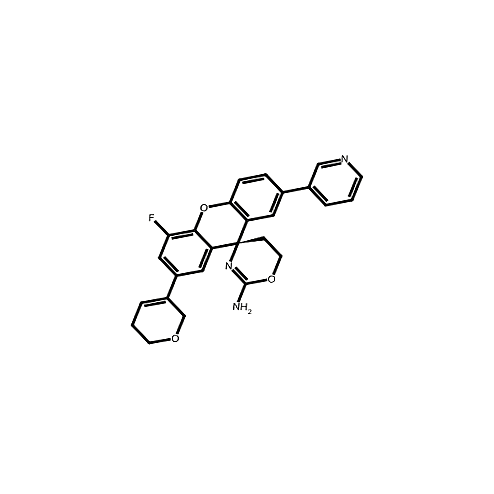 NC1=N[C@@]2(CCO1)c1cc(-c3cccnc3)ccc1Oc1c(F)cc(C3=CCCOC3)cc12